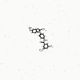 O=C(Nc1ccc(-n2c(C(F)(F)F)nc3cc(CO)ccc32)cc1)c1cc(C(F)(F)F)cc(C(F)(F)F)c1